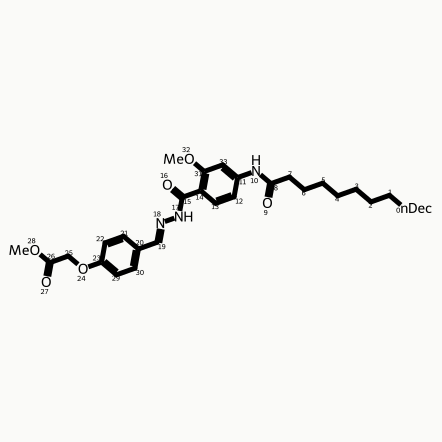 CCCCCCCCCCCCCCCCCC(=O)Nc1ccc(C(=O)N/N=C/c2ccc(OCC(=O)OC)cc2)c(OC)c1